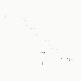 CCCCCCCCCCCCOC([CH]C(N)=O)C(N)=O